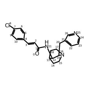 O=C(/C=C/c1ccc(Cl)cc1)NC1C2CCN(CC2)C1Cc1cccnc1